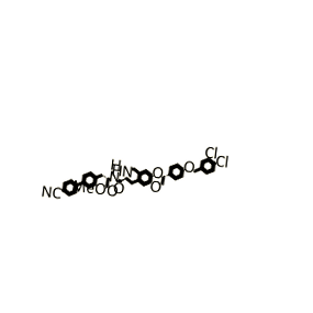 COC(=O)[C@H](Cc1ccc(-c2ccc(C#N)cc2)cc1)NC(=O)[C@@H]1Cc2cc3c(cc2CN1)O[C@H](c1ccc(OCc2ccc(Cl)c(Cl)c2)cc1)CO3